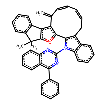 C=C1/C=C\C=C/Cc2c(n(-c3nc(-c4ccccc4)c4ccccc4n3)c3ccccc23)-c2oc3c(c21)-c1ccccc1C3(C)C